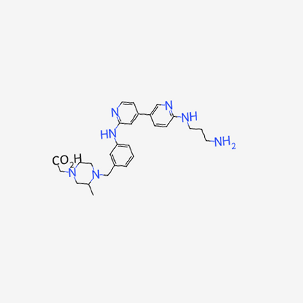 CC1CN(CC(=O)O)CCN1Cc1cccc(Nc2cc(-c3ccc(NCCCN)nc3)ccn2)c1